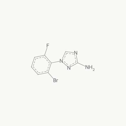 Nc1ncn(-c2c(F)cccc2Br)n1